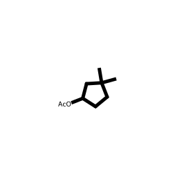 CC(=O)OC1CCC(C)(C)C1